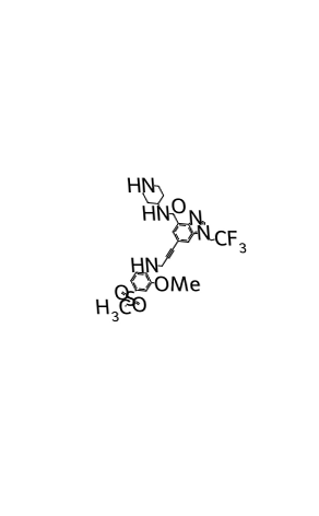 COc1cc(S(C)(=O)=O)ccc1NCC#Cc1cc(C(=O)NC2CCNCC2)c2ncn(CC(F)(F)F)c2c1